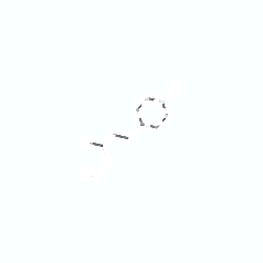 CCC(C)OC(=O)C=Cc1ccc(Cl)cc1